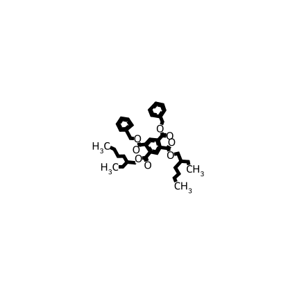 CCCCC(CC)COC(=O)c1cc(C(=O)OCC(CC)CCCC)c(C(=O)OCc2ccccc2)cc1C(=O)OCc1ccccc1